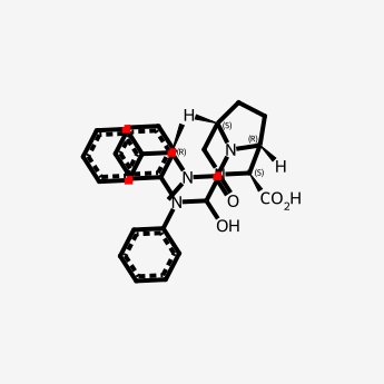 C[C@H](c1ccccc1)N(C)C(=O)N1[C@H]2CC[C@@H]1[C@@H](C(=O)O)N(C(O)N(c1ccccc1)c1ccccc1)C2